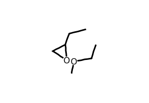 CCC1CO1.CCOC